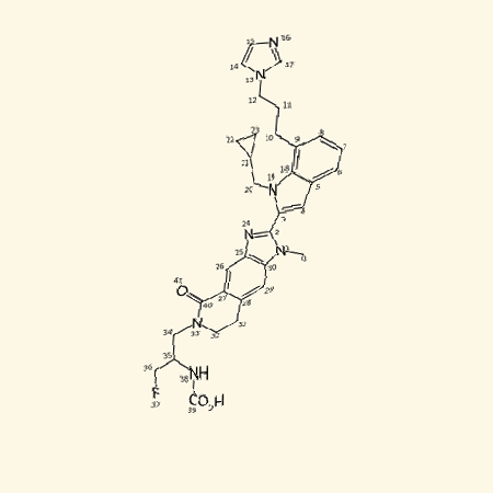 Cn1c(-c2cc3cccc(CCCn4ccnc4)c3n2CC2CC2)nc2cc3c(cc21)CCN(CC(CF)NC(=O)O)C3=O